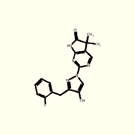 CC1(C)C(=O)Nc2nc(-n3cc(C#N)c(Cc4ccccc4F)n3)ncc21